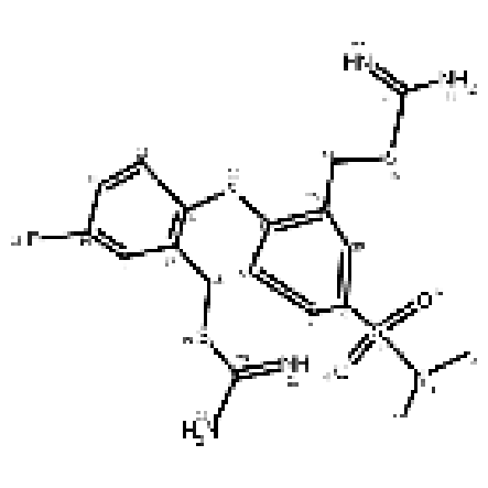 CN(C)S(=O)(=O)c1ccc(Sc2ccc(F)cc2CSC(=N)N)c(CSC(=N)N)c1